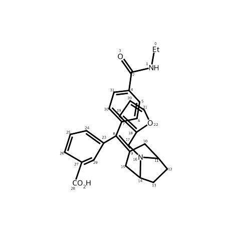 CCNC(=O)c1ccc(C(=C2CC3CCC(C2)N3Cc2ccco2)c2cccc(C(=O)O)c2)cc1